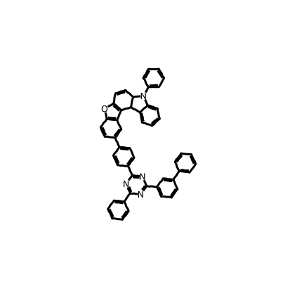 C1=CC2C(c3ccccc3N2c2ccccc2)c2c1oc1ccc(-c3ccc(-c4nc(-c5ccccc5)nc(-c5cccc(-c6ccccc6)c5)n4)cc3)cc21